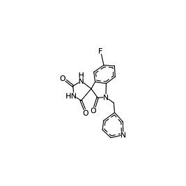 O=C1NC(=O)C2(N1)C(=O)N(Cc1cccnc1)c1ccc(F)cc12